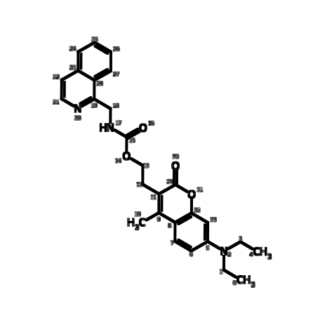 CCN(CC)c1ccc2c(C)c(CCOC(=O)NCc3nccc4ccccc34)c(=O)oc2c1